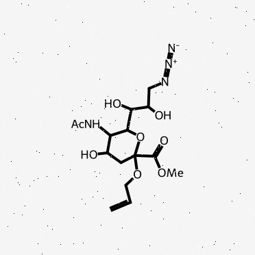 C=CCOC1(C(=O)OC)CC(O)C(NC(C)=O)C(C(O)C(O)CN=[N+]=[N-])O1